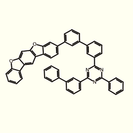 c1ccc(-c2cccc(-c3nc(-c4ccccc4)nc(-c4cccc(-c5cccc(-c6ccc7c(c6)oc6cc8oc9ccccc9c8cc67)c5)c4)n3)c2)cc1